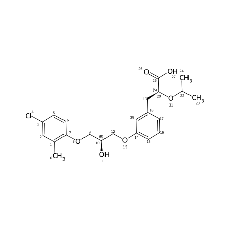 Cc1cc(Cl)ccc1OC[C@H](O)COc1cccc(C[C@H](OC(C)C)C(=O)O)c1